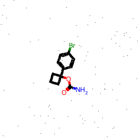 NC(=O)OC1(c2ccc(Br)cc2)CCC1